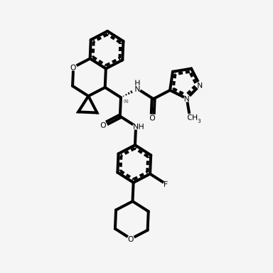 Cn1nccc1C(=O)N[C@H](C(=O)Nc1ccc(C2CCOCC2)c(F)c1)C1c2ccccc2OCC12CC2